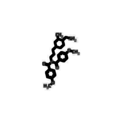 COc1ccc(C(=O)N(C[CH]CC2CCC(CN)C(C)C2)C(=O)c2ccc(OC)cc2)cc1